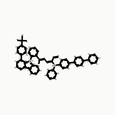 C=C/C(=C\C=C(/C)c1ccccc1-n1c2ccccc2c2cccc(-c3ccc(C(C)(C)C)cc3)c21)N(c1ccccc1)c1ccc(-c2ccc(-c3ccccc3)cc2)cc1